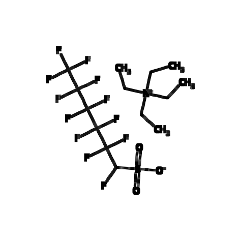 CC[N+](CC)(CC)CC.O=S(=O)([O-])C(F)C(F)(F)C(F)(F)C(F)(F)C(F)(F)C(F)(F)F